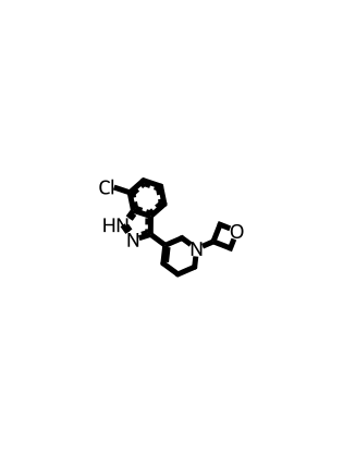 Clc1cccc2c(C3=CCCN(C4COC4)C3)n[nH]c12